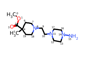 COC(=O)C1(C)CCN(CCN2CCN(N)CC2)CC1